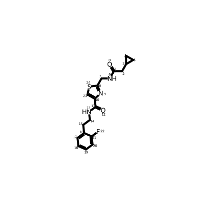 O=C(CC1CC1)NCc1nc(C(=O)NCCc2ccccc2F)cs1